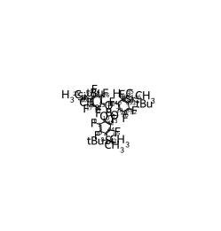 CC(C)(C)[Si](C)(C)c1c(F)c(F)c(OB(Oc2c(F)c(F)c([Si](C)(C)C(C)(C)C)c(F)c2F)Oc2c(F)c(F)c([Si](C)(C)C(C)(C)C)c(F)c2F)c(F)c1F